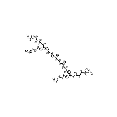 CCCCOCC(OCCCC)OCCOC(=O)CCCC(=O)OCCOC(COCCCC)OCCCC